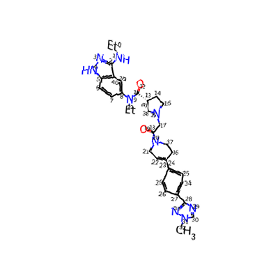 CCNc1n[nH]c2ccc(N(CC)C(=O)[C@@H]3CCN(CC(=O)N4CC=C(c5ccc(-c6ncn(C)n6)cc5)CC4)C3)cc12